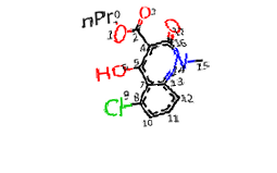 CCCOC(=O)c1c(O)c2c(Cl)cccc2n(C)c1=O